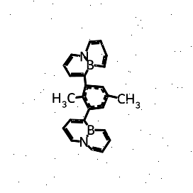 Cc1cc(C2=CC=CN3C=CC=CB23)c(C)c(C2=CC=CN3C=CC=CB23)c1